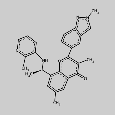 Cc1cc([C@@H](C)Nc2cccnc2C)c2oc(-c3ccc4nn(C)cc4c3)c(C)c(=O)c2c1